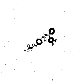 O=C(O)COC[C@H]1CC[C@H](CNC(=O)N(c2ccccc2)c2ccc(F)c(F)c2)CC1